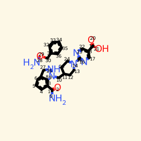 NC(=O)c1cccc2c1N(CC1CCN(c3ncc(C(=O)O)cn3)CC1)NC2.NOCc1ccccc1